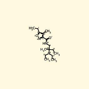 CCc1onc(C(=O)NCC(C)(CC)N(CC)CC)c1C